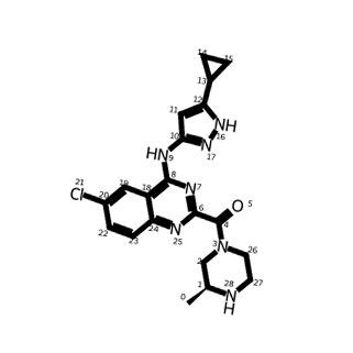 C[C@H]1CN(C(=O)c2nc(Nc3cc(C4CC4)[nH]n3)c3cc(Cl)ccc3n2)CCN1